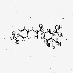 CS(=O)(=O)c1ccc(CNC(=O)c2cc(N)c(C#N)c(C(=O)O)n2)cc1